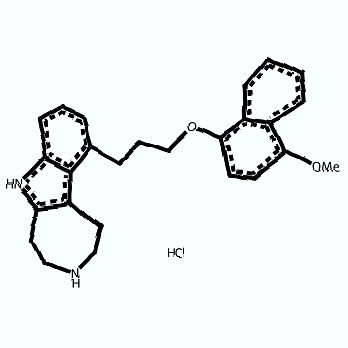 COc1ccc(OCCCc2cccc3[nH]c4c(c23)CCNCC4)c2ccccc12.Cl